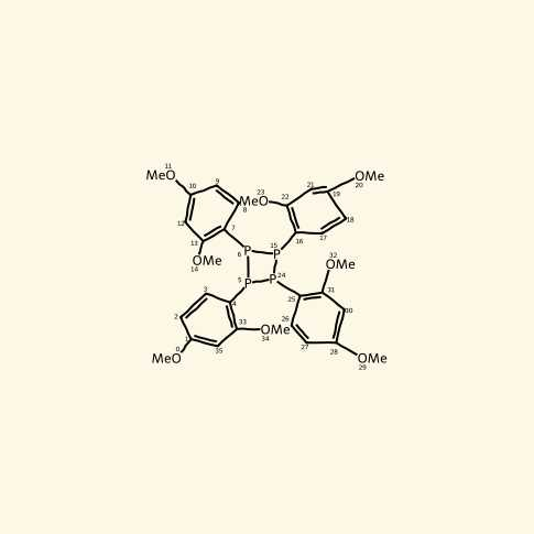 COc1ccc(P2P(c3ccc(OC)cc3OC)P(c3ccc(OC)cc3OC)P2c2ccc(OC)cc2OC)c(OC)c1